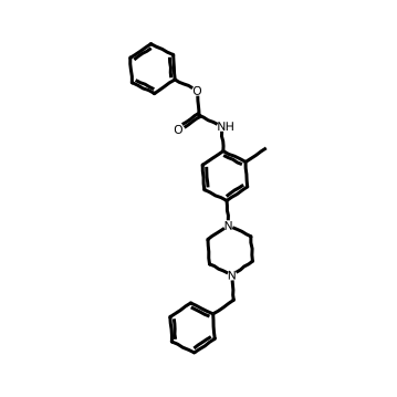 Cc1cc(N2CCN(Cc3ccccc3)CC2)ccc1NC(=O)Oc1ccccc1